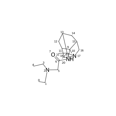 CCN(CC)CC(=O)NC1(C)C2CC3CC1CN(C2)C3(C)C